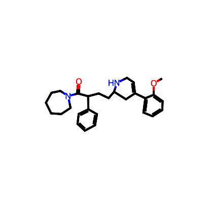 COc1ccccc1C1=CCNC(CCC(C(=O)N2CCCCCC2)c2ccccc2)C1